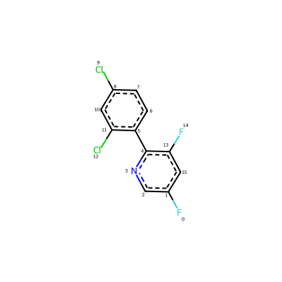 Fc1cnc(-c2ccc(Cl)[c]c2Cl)c(F)c1